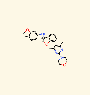 Cc1nc(N2CCOCC2)nc(C)c1-c1cccc2c1OC[C@H]2Nc1ccc2c(c1)OC[C]2